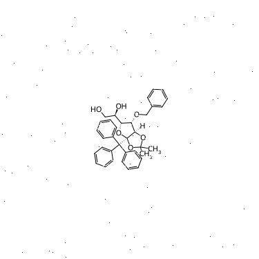 CC1(C)O[C@@H]2[C@@H](OCc3ccccc3)[C@@H]([C@H](O)CO)O[C@]2(C(c2ccccc2)(c2ccccc2)c2ccccc2)O1